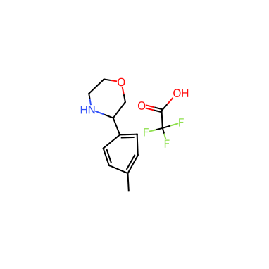 Cc1ccc(C2COCCN2)cc1.O=C(O)C(F)(F)F